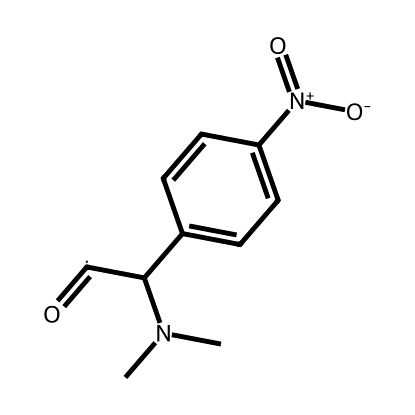 CN(C)C([C]=O)c1ccc([N+](=O)[O-])cc1